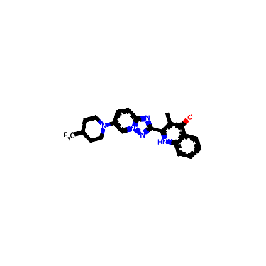 Cc1c(-c2nc3ccc(N4CCC(C(F)(F)F)CC4)cn3n2)[nH]c2ccccc2c1=O